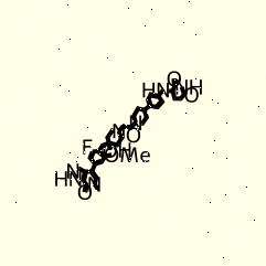 COc1cc(-c2cn(C)c(=O)c3[nH]ncc23)cc(F)c1CC1(O)CCN(CC(=O)N2CCC(c3ccc(NC4CCC(=O)NC4=O)cc3)CC2)CC1